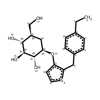 CCc1ccc(Cc2sccc2O[C@@H]2C[C@H](CO)[C@@H](O)[C@H](O)[C@H]2O)cc1